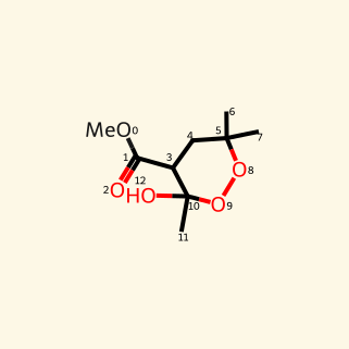 COC(=O)C1CC(C)(C)OOC1(C)O